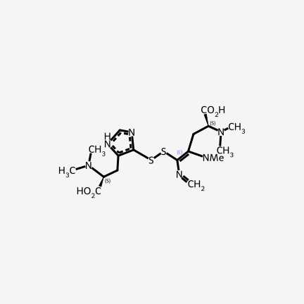 C=N/C(SSc1nc[nH]c1C[C@@H](C(=O)O)N(C)C)=C(/C[C@@H](C(=O)O)N(C)C)NC